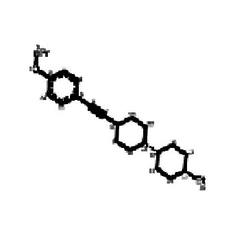 CCCOc1ccc(C#CC2CCC([C@H]3CC[C@H](CC)CC3)CC2)cc1